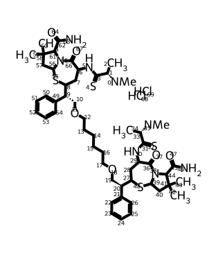 CN[C@@H](C)C(=S)NC1CC([C@H](COCCCCCCOC[C@H](c2ccccc2)C2CC(NC(=S)[C@H](C)NC)C(=O)N3C(CC(C)(C)C3C(N)=O)S2)c2ccccc2)SC2CC(C)(C)C(C(N)=O)N2C1=O.Cl.Cl